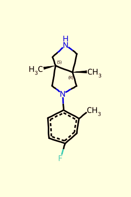 Cc1cc(F)ccc1N1C[C@]2(C)CNC[C@]2(C)C1